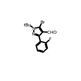 CC(C)(C)n1nc(-c2ccccc2F)c(C=O)c1Br